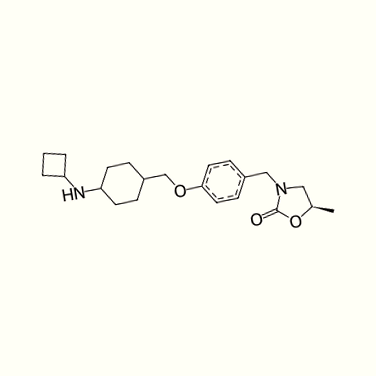 C[C@@H]1CN(Cc2ccc(OCC3CCC(NC4CCC4)CC3)cc2)C(=O)O1